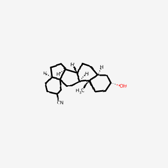 C[C@]12CC[C@@H](O)C[C@@H]1CC[C@H]1[C@@H]3CC[C@@H]4CCC(C#N)CC43CC[C@@H]12